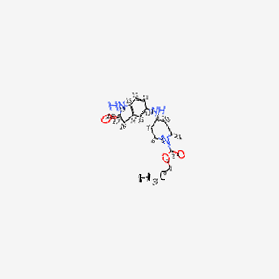 CCOC(=O)N1CCC(Nc2ccc3c(c2)CC(=O)N3)CC1